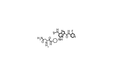 NC(=O)C[C@H](N)C(=O)N[C@H]1CC[C@H](Nc2cc(NC3CC3)c3ncc(C(=O)Nc4ccncc4F)n3n2)CC1